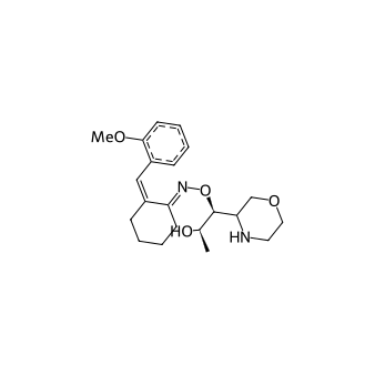 COc1ccccc1C=C1CCCC/C1=N\O[C@@H](C1COCCN1)[C@@H](C)O